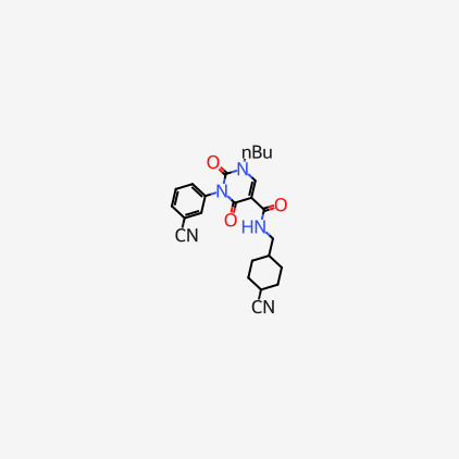 CCCCn1cc(C(=O)NCC2CCC(C#N)CC2)c(=O)n(-c2cccc(C#N)c2)c1=O